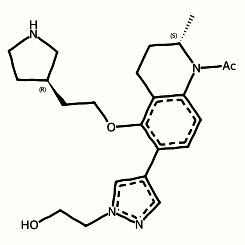 CC(=O)N1c2ccc(-c3cnn(CCO)c3)c(OCC[C@H]3CCNC3)c2CC[C@@H]1C